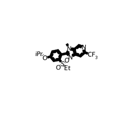 CCS(=O)(=O)c1cc(OC(C)C)ccc1-c1nc2cc(C(F)(F)F)ncc2n1C